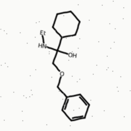 CCNC(O)(COCc1ccccc1)C1CCCCC1